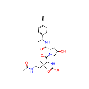 C#Cc1ccc(C(C)NC(=O)[C@@H]2C[C@@H](O)CN2C(=O)C(NC(=O)O)C(C)(C)CCNC(C)=O)cc1